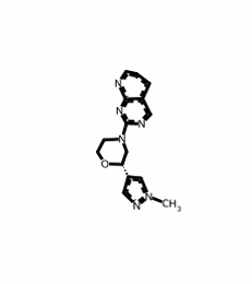 Cn1cc([C@H]2CN(c3ncc4cccnc4n3)CCO2)cn1